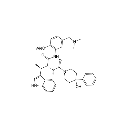 COc1ccc(CN(C)C)cc1NC(=O)[C@H](NC(=O)N1CCC(O)(c2ccccc2)CC1)[C@H](C)c1c[nH]c2ccccc12